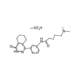 CN(C)CCCCC(=O)Nc1cccc(-c2n[nH]c(=O)c3c2CCCC3)c1.CS(=O)(=O)O